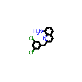 Nc1cccc2ccc(Cc3cc(Cl)cc(Cl)c3)nc12